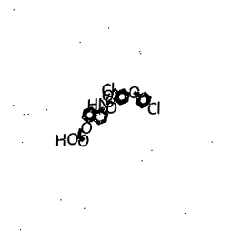 O=C(O)COc1cccc2c1CCC[C@H]2NS(=O)(=O)c1ccc(Oc2ccc(Cl)cc2)cc1Cl